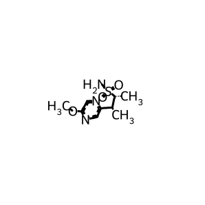 COc1cnc([C@H](C)[C@@H](C)S(N)(=O)=O)cn1